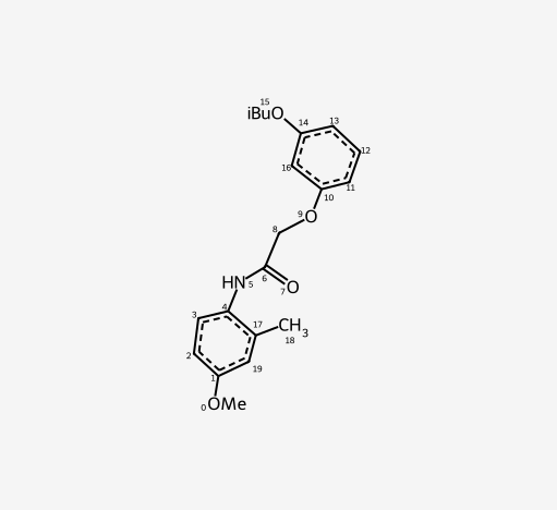 COc1ccc(NC(=O)COc2cccc(OCC(C)C)c2)c(C)c1